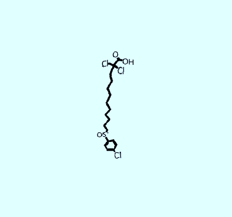 O=C(O)C(Cl)(Cl)CCCCCCCCCC[S+]([O-])c1ccc(Cl)cc1